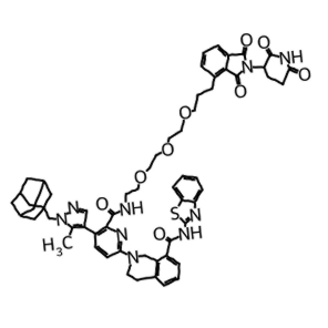 Cc1c(-c2ccc(N3CCc4cccc(C(=O)Nc5nc6ccccc6s5)c4C3)nc2C(=O)NCCOCCOCCOCCCc2cccc3c2C(=O)N(C2CCC(=O)NC2=O)C3=O)cnn1CC12CC3CC(CC(C3)C1)C2